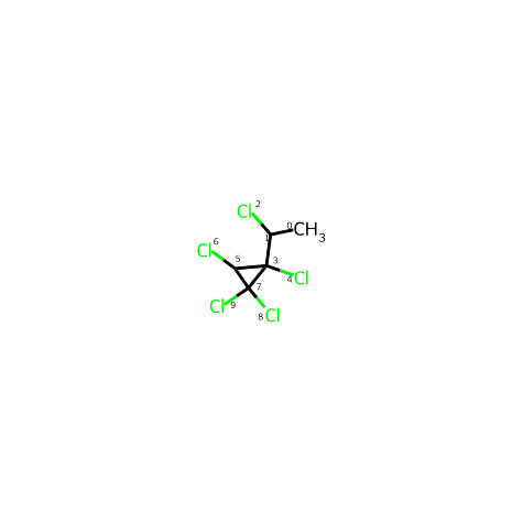 CC(Cl)C1(Cl)C(Cl)C1(Cl)Cl